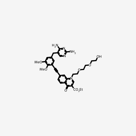 CCOC(=O)c1cn(CCOCCOCCO)c2cc(C#Cc3cc(Cc4cnc(N)nc4N)cc(OC)c3OC)ccc2c1=O